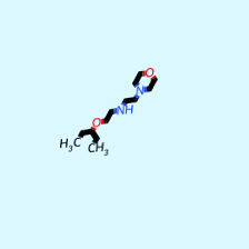 CCC(CC)OCCNCCN1CCOCC1